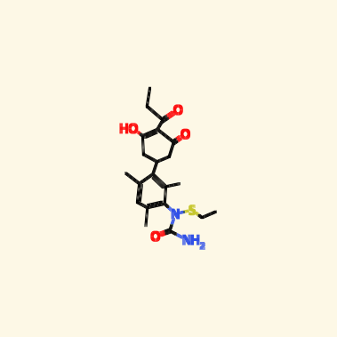 CCSN(C(N)=O)c1c(C)cc(C)c(C2CC(=O)C(C(=O)CC)=C(O)C2)c1C